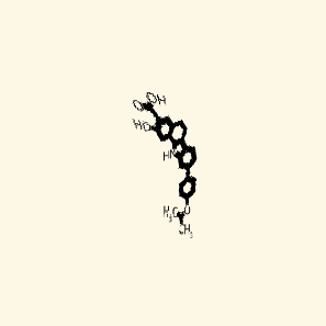 CC(C)Oc1ccc(-c2ccc3c4c([nH]c3c2)-c2cc(O)c(C(=O)O)cc2CC4)cc1